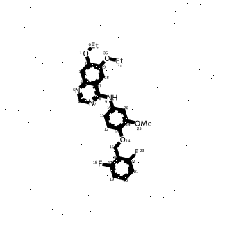 CCOc1cc2ncnc(Nc3ccc(OCc4c(F)cccc4F)c(OC)c3)c2cc1OCC